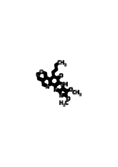 CCCCC1C(=O)c2[nH]c3c(OC)c(OC)nc-3nc2-c2ncc3c(c21)=COOC=3